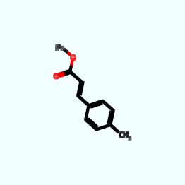 Cc1ccc(/C=C/C(=O)OC(C)C)cc1